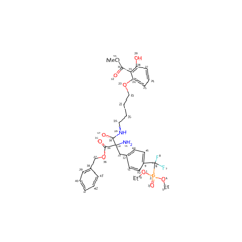 CCOP(=O)(OCC)C(F)(F)c1ccc(CC(N)(C(=O)NCCCCOc2cccc(O)c2C(=O)OC)C(=O)OCc2ccccc2)cc1